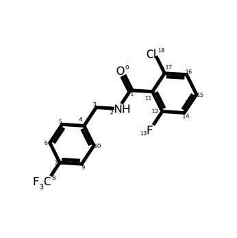 O=C(NCc1ccc(C(F)(F)F)cc1)c1c(F)cccc1Cl